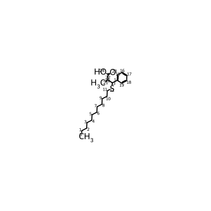 CCCCCCCCCCCCSC(c1ccccc1)C(C)C(=O)O